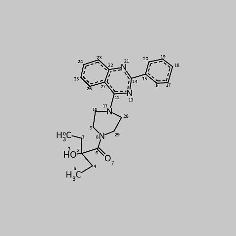 CCC(O)(CC)C(=O)N1CCN(c2nc(-c3ccccc3)nc3ccccc23)CC1